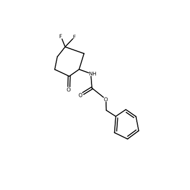 O=C(NC1CC(F)(F)CCC1=O)OCc1ccccc1